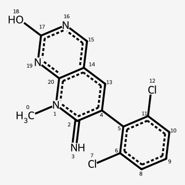 Cn1c(=N)c(-c2c(Cl)cccc2Cl)cc2cnc(O)nc21